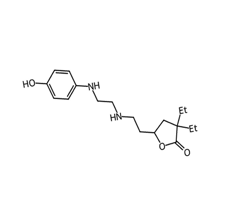 CCC1(CC)CC(CCNCCNc2ccc(O)cc2)OC1=O